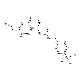 COc1cc2cccc(NC(=O)NCc3ccc(C(F)(F)F)cc3)c2cn1